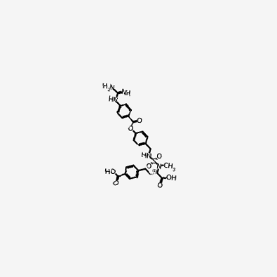 CN([C@@H](CCc1ccc(C(=O)O)cc1)C(=O)O)S(=O)(=O)NCc1ccc(OC(=O)c2ccc(NC(=N)N)cc2)cc1